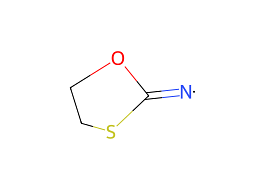 [N]=C1OCCS1